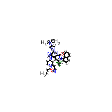 C=CC(=O)N1CCC(n2cnc3c(N4CC(N(C)C)C4)nc4c(=O)n(-c5cccc6ccccc56)c(C(F)(F)F)cc4c32)CC1CC#N